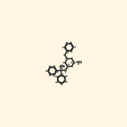 CC(C)(C)[Si](O[C@@H]1C[C@@H](O)CN(Cc2ccccc2)C1)(c1ccccc1)c1ccccc1